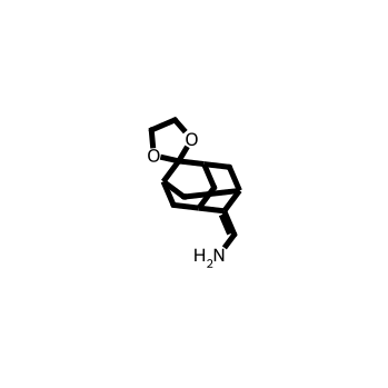 NC=C1C2CC3CC1CC(C2)C31OCCO1